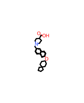 O=C(O)C1CCN(Cc2ccc3cc(OC4CCC5(CCCC5)CC4)ccc3c2)CC1